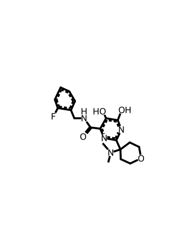 CN(C)C1(c2nc(O)c(O)c(C(=O)NCc3ccccc3F)n2)CCOCC1